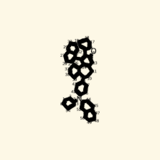 c1ccc(N(c2ccc(C3CCc4cc5oc6ccccc6c5c(-c5cccc6ccccc56)c4-c4ccccc43)cc2)c2ccc3ccccc3c2)cc1